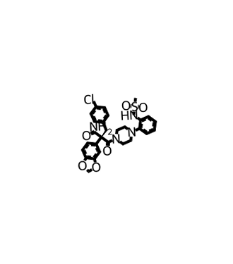 CS(=O)(=O)Nc1ccccc1N1CCN(C(=O)[C@@](Cc2ccc(Cl)cc2)(C(N)=O)c2ccc3c(c2)OCO3)CC1